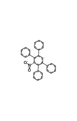 O=[N+]([O-])c1c(-c2ccccc2)c(-c2ccccc2)[c]c(-c2ccccc2)c1-c1ccccc1